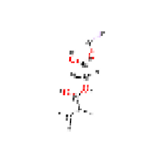 CC(C)C(C)C(=O)OC(C)(C)C(=O)OCI